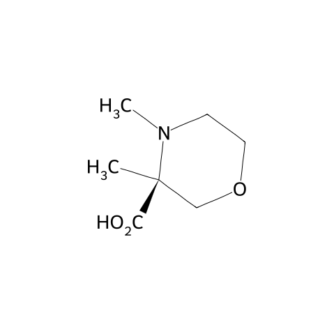 CN1CCOC[C@@]1(C)C(=O)O